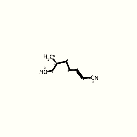 C[C@H](CO)CCC=CC#N